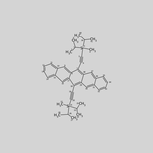 CC(C)[Si](C)(C#Cc1c2cc3ccccc3cc2c(C#C[Si](C)(C(C)C)C(C)C)c2cc3ccccc3cc12)C(C)C